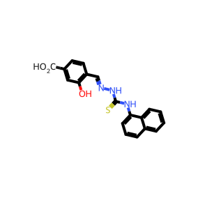 O=C(O)c1ccc(C=NNC(=S)Nc2cccc3ccccc23)c(O)c1